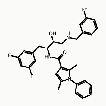 CCc1cccc(CNC[C@H](O)[C@H](Cc2cc(F)cc(F)c2)NC(=O)c2cc(C)n(-c3ccccc3)c2C)c1